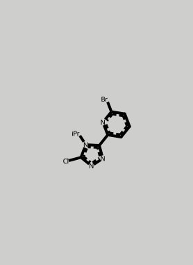 CC(C)n1c(Cl)nnc1-c1cccc(Br)n1